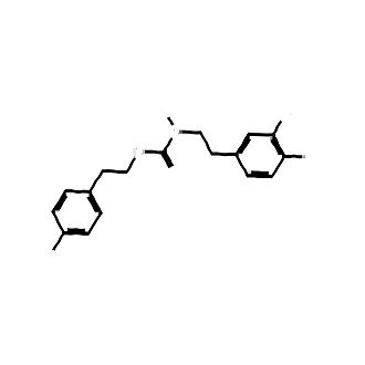 CN(CCc1ccc(O)c(O)c1)C(=O)NCCc1ccc(Cl)cc1